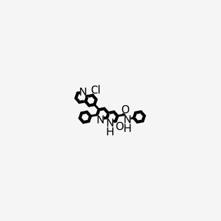 O=C(Nc1ccccc1)c1cc2cc(-c3cc(Cl)c4ncccc4c3)c(-c3ccccc3)nc2[nH]c1=O